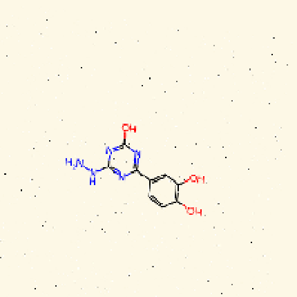 NNc1nc(O)nc(-c2ccc(O)c(O)c2)n1